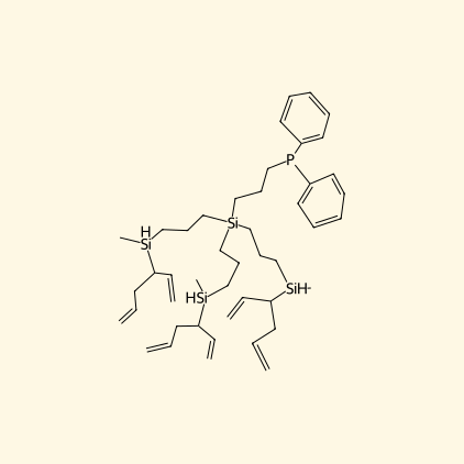 C=CCC(C=C)[SiH](C)CCC[Si](CCC[SiH](C)C(C=C)CC=C)(CCC[SiH](C)C(C=C)CC=C)CCCP(c1ccccc1)c1ccccc1